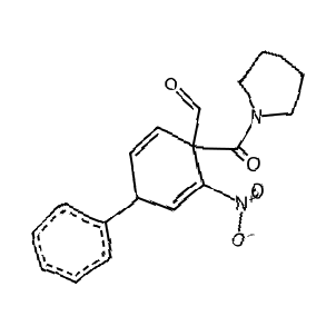 O=CC1(C(=O)N2CCCC2)C=CC(c2ccccc2)C=C1[N+](=O)[O-]